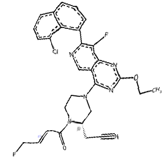 CCOc1nc(N2CCN(C(=O)/C=C/CF)[C@@H](CC#N)C2)c2cnc(-c3cccc4cccc(Cl)c34)c(F)c2n1